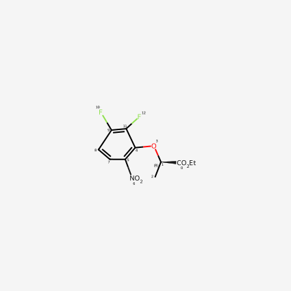 CCOC(=O)[C@@H](C)Oc1c([N+](=O)[O-])ccc(F)c1F